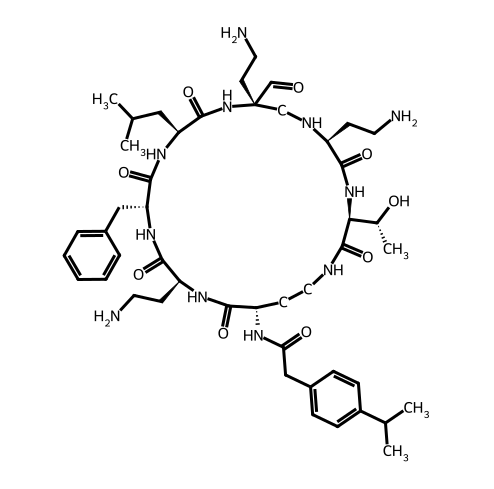 CC(C)C[C@@H]1NC(=O)[C@@H](Cc2ccccc2)NC(=O)[C@H](CCN)NC(=O)[C@@H](NC(=O)Cc2ccc(C(C)C)cc2)CCNC(=O)[C@H]([C@@H](C)O)NC(=O)[C@H](CCN)NC[C@](C=O)(CCN)NC1=O